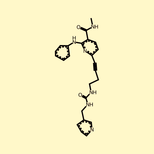 CNC(=O)c1ccc(C#CCCNC(=O)NCc2cccnc2)nc1Nc1ccccc1